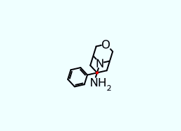 NC1CC2COCC(C1)N2Cc1ccccc1